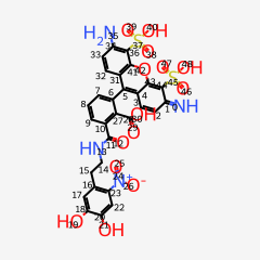 N=c1ccc2c(-c3cccc(C(=O)NCCc4cc(O)c(O)cc4[N+](=O)[O-])c3C(=O)O)c3ccc(N)c(S(=O)(=O)O)c3oc-2c1S(=O)(=O)O